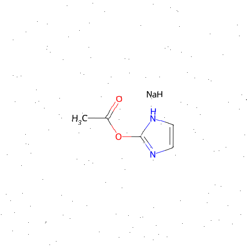 CC(=O)Oc1ncc[nH]1.[NaH]